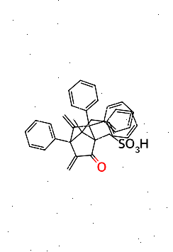 C=C1C(=O)C2(CS(=O)(=O)O)C(c3ccccc3)(c3ccccc3)C(=C)C1(c1ccccc1)C2(C)Cc1ccccc1